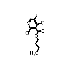 CCCCOC(=O)c1c(Cl)ncc(I)c1Cl